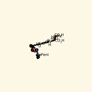 CCCCCN1/C(=C/C=C2\CCCC(/C=C/C3=[N+](CCCCCC(=O)NCCOCCOCC(=O)NCCCC[C@H](NC(=O)N[C@@H](CCC(C)=O)C(=O)O)C(=O)O)c4ccccc4C3(C)C)=C2Oc2ccccc2)C(C)(C)c2ccccc21